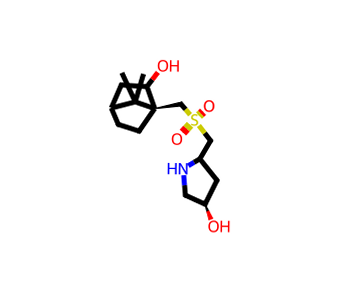 CC1(C)C2CC[C@@]1(CS(=O)(=O)CC1C[C@@H](O)CN1)C(O)C2